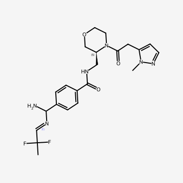 Cn1nccc1CC(=O)N1CCOC[C@@H]1CNC(=O)c1ccc(C(N)/N=C/C(C)(F)F)cc1